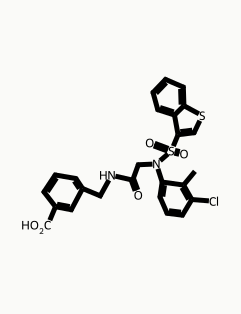 Cc1c(Cl)cccc1N(CC(=O)NCc1cccc(C(=O)O)c1)S(=O)(=O)c1csc2ccccc12